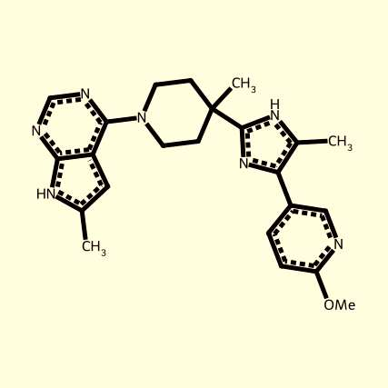 COc1ccc(-c2nc(C3(C)CCN(c4ncnc5[nH]c(C)cc45)CC3)[nH]c2C)cn1